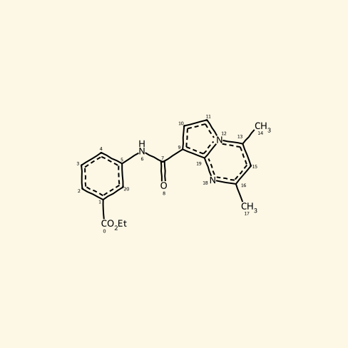 CCOC(=O)c1cccc(NC(=O)c2ccn3c(C)cc(C)nc23)c1